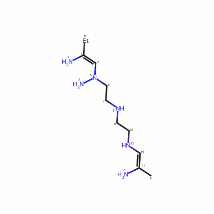 CC/C(N)=C/N(N)CCNCCN/C=C(/C)N